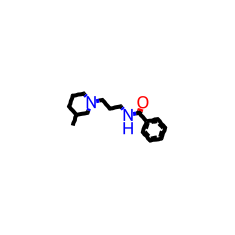 CC1CCCN(CCCNC(=O)c2ccccc2)C1